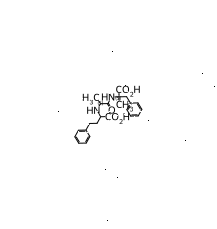 C[C@H](NC(CCc1ccccc1)C(=O)O)C(=O)N[C@@](C)(Cc1ccccc1)C(=O)O